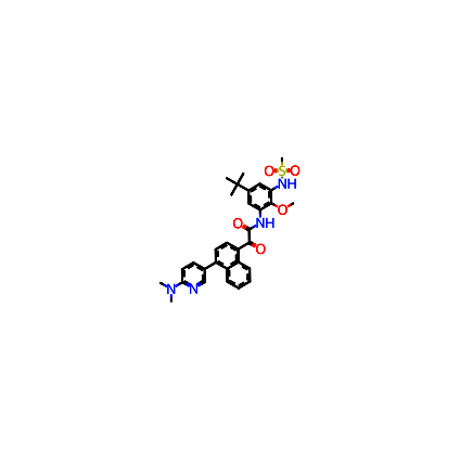 COc1c(NC(=O)C(=O)c2ccc(-c3ccc(N(C)C)nc3)c3ccccc23)cc(C(C)(C)C)cc1NS(C)(=O)=O